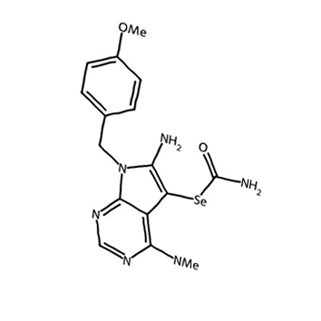 CNc1ncnc2c1c([Se]C(N)=O)c(N)n2Cc1ccc(OC)cc1